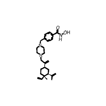 C=C[C@]1(C)CC[C@@H](C(=C)CN2CCN(Cc3ccc(C(=O)NO)cc3)CC2)C[C@H]1C(=C)C